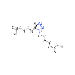 CCC(C)CCCCCn1nncc1CCCCC(C)C